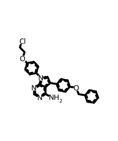 Nc1ncnc2c1c(-c1ccc(OCc3ccccc3)cc1)cn2-c1ccc(OCCCl)cc1